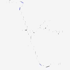 CCCCC/C=C\C/C=C\CCCCCCCC(=O)OCC(COC(=O)CCCCCCC/C=C\C/C=C\CCCCC)OC(=O)CCC(CCCCCCCCCCCC)OC(=O)OCCCN(CC)CC